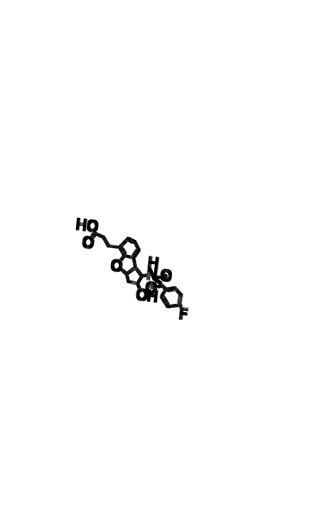 O=C(O)CCc1cccc2c1OC1CC(O)C(NS(=O)(=O)c3ccc(F)cc3)C21